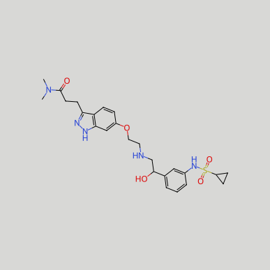 CN(C)C(=O)CCc1n[nH]c2cc(OCCNCC(O)c3cccc(NS(=O)(=O)C4CC4)c3)ccc12